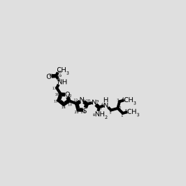 CCC(CC)CN/C(N)=N/c1nc(-c2ccc(CNC(C)=O)o2)cs1